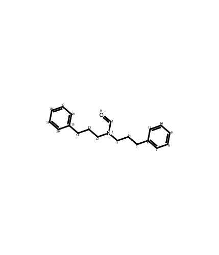 O=CN(CCCc1ccccc1)CCCc1ccccc1